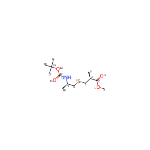 COC(=O)[C@H](C)CSC[C@@H](C)NC(=O)OC(C)(C)C